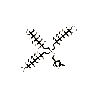 Cc1cc(CO[Si](CCC(F)(F)C(F)(F)C(F)(F)C(F)(F)C(F)(F)C(F)(F)F)(CCC(F)(F)C(F)(F)C(F)(F)C(F)(F)C(F)(F)C(F)(F)F)CCC(F)(F)C(F)(F)C(F)(F)C(F)(F)C(F)(F)C(F)(F)F)on1